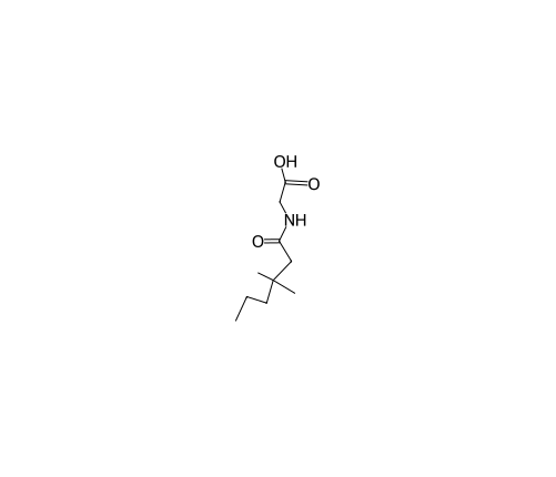 CCCC(C)(C)CC(=O)NCC(=O)O